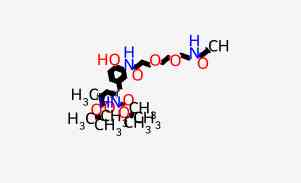 C#CC(=O)NCCOCCOCCC(=O)Nc1cc(C[C@@H](C[C@@H](C)C(=O)OC(C)(C)C)NC(=O)OC(C)(C)C)ccc1O